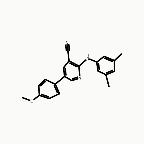 COc1ccc(-c2cnc(Nc3cc(C)cc(C)c3)c(C#N)c2)cc1